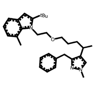 Cc1cccc2cc(C(C)(C)C)n(CCOCCCC(C)c3cn(C)nc3Cc3ccccc3)c12